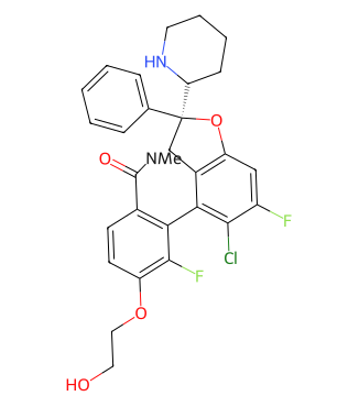 CNC(=O)c1ccc(OCCO)c(F)c1-c1c(Cl)c(F)cc2c1C[C@](c1ccccc1)(C1CCCCN1)O2